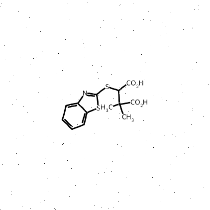 CC(C)(C(=O)O)C(Sc1nc2ccccc2s1)C(=O)O